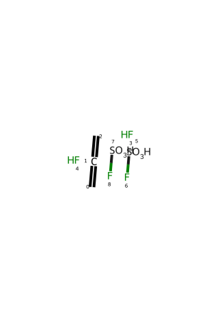 C=C=C.F.F.O=S(=O)(O)F.O=S(=O)(O)F